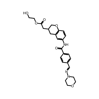 O=C(CC1COc2ccc(NC(=O)c3ccc(C=NN4CCOCC4)cc3)cc2C1)OCCO